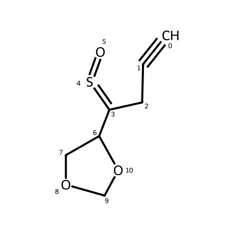 C#CCC(=S=O)C1COCO1